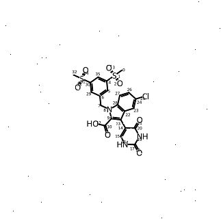 CS(=O)(=O)c1cc(Cn2c(C(=O)O)c(-c3c[nH]c(=O)[nH]c3=O)c3cc(Cl)ccc32)cc(S(C)(=O)=O)c1